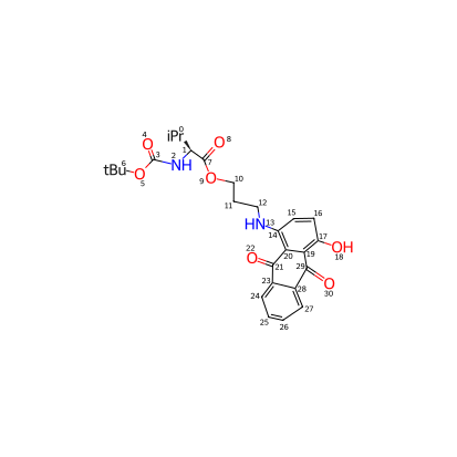 CC(C)[C@H](NC(=O)OC(C)(C)C)C(=O)OCCCNc1ccc(O)c2c1C(=O)c1ccccc1C2=O